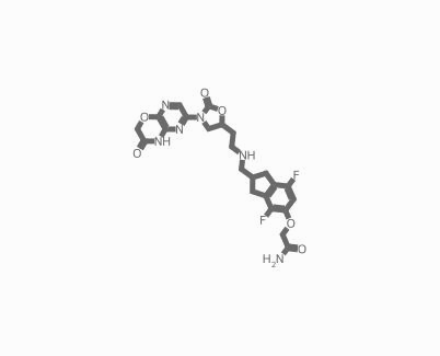 NC(=O)COc1cc(F)c2c(c1F)CC(CNCCC1CN(c3cnc4c(n3)NC(=O)CO4)C(=O)O1)C2